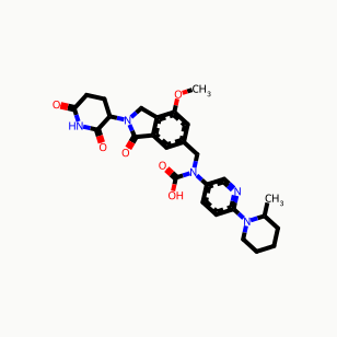 COc1cc(CN(C(=O)O)c2ccc(N3CCCCC3C)nc2)cc2c1CN(C1CCC(=O)NC1=O)C2=O